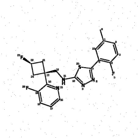 Cc1ccc(F)c(-c2nnc(NC[C@]3(c4ncccc4F)C[C@H](F)C3)s2)c1